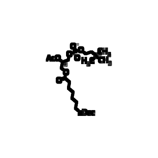 CCCCCCCCCCCCCCCCC(=O)OC[C@H](COP(=O)([O-])OCC[N+](C)(C)C)OC(C)=O